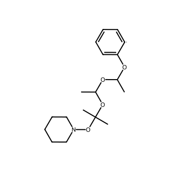 CC(Oc1[c]cccc1)OC(C)OC(C)(C)ON1CCCCC1